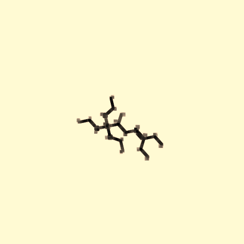 CCO[Si](OCC)(OCC)C(C)CN=C(CC)CC